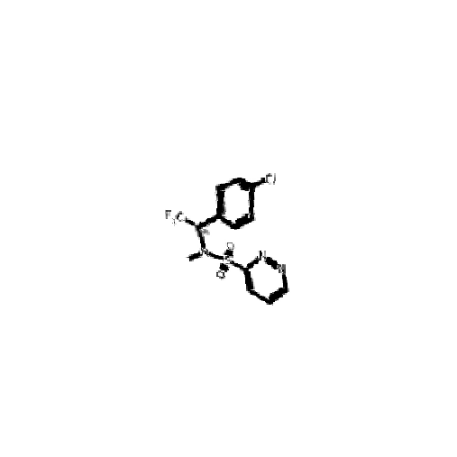 CN([C@H](c1ccc(Cl)cc1)C(F)(F)F)S(=O)(=O)c1cccnn1